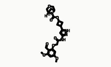 COc1cc(OC)c(C=O)c(OCC(=O)Nc2cc(C3CC(OC(=O)N4C5COC[C@@H]4C5)C3)[nH]n2)c1